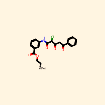 CCCCCCCCCCCCOC(=O)c1cccc(NC(=O)C(Cl)C(=O)CC(=O)c2ccccc2)c1